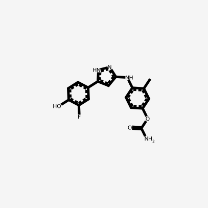 Cc1cc(OC(N)=O)ccc1Nc1cc(-c2ccc(O)c(F)c2)[nH]n1